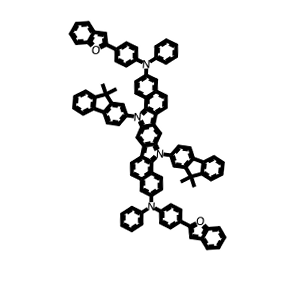 CC1(C)c2ccccc2-c2ccc(-n3c4cc5c6ccc7cc(N(c8ccccc8)c8ccc(-c9cc%10ccccc%10o9)cc8)ccc7c6n(-c6ccc7c(c6)C(C)(C)c6ccccc6-7)c5cc4c4ccc5cc(N(c6ccccc6)c6ccc(-c7cc8ccccc8o7)cc6)ccc5c43)cc21